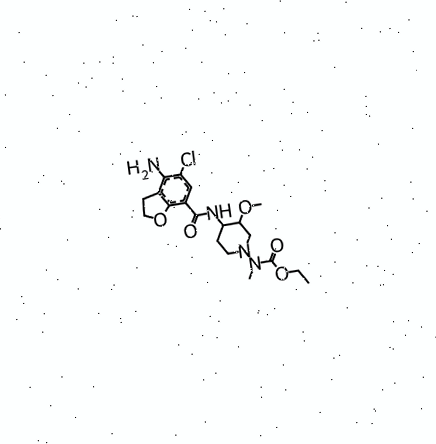 CCOC(=O)N(C)N1CCC(NC(=O)c2cc(Cl)c(N)c3c2OCC3)C(OC)C1